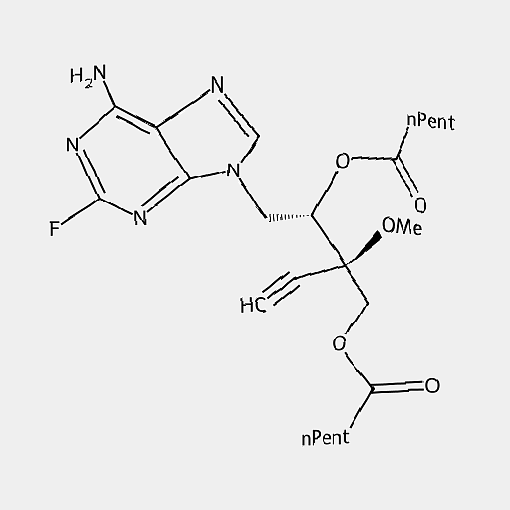 C#C[C@](COC(=O)CCCCC)(OC)[C@H](Cn1cnc2c(N)nc(F)nc21)OC(=O)CCCCC